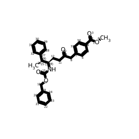 COC(=O)c1ccc(CC(=O)CC[C@@H](NC(=O)OCc2ccccc2)[C@H](C)c2ccccc2)cc1